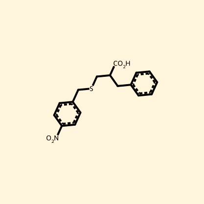 O=C(O)C(CSCc1ccc([N+](=O)[O-])cc1)Cc1ccccc1